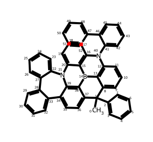 CC1(c2ccccc2)c2cccc3c2B2c4c(cccc4N4c5ccccc5-c5ccccc5-c5ccc1c2c54)N3c1ccccc1-c1ccccn1